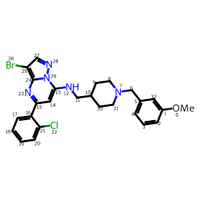 COc1cccc(CN2CCC(CNc3cc(-c4ccccc4Cl)nc4c(Br)cnn34)CC2)c1